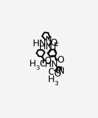 Cc1oncc1NC(=O)c1cc(F)c(NC(=O)N2CCCCC2=N)cc1OC(C)C1CCCCC1